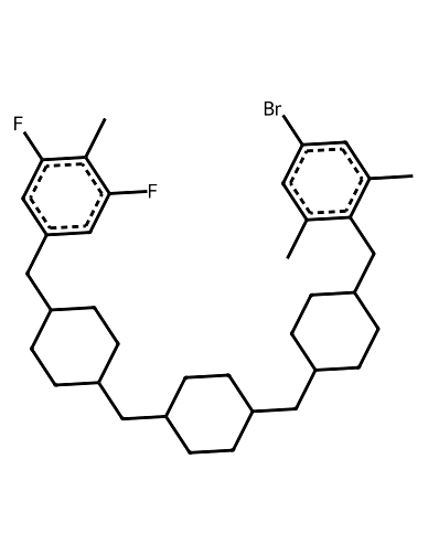 Cc1cc(Br)cc(C)c1CC1CCC(CC2CCC(CC3CCC(Cc4cc(F)c(C)c(F)c4)CC3)CC2)CC1